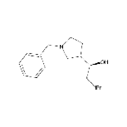 CC(C)C[C@H](O)C1CCN(Cc2ccccc2)C1